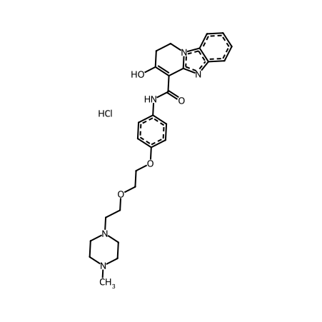 CN1CCN(CCOCCOc2ccc(NC(=O)C3=C(O)CCn4c3nc3ccccc34)cc2)CC1.Cl